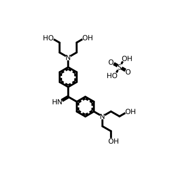 N=C(c1ccc(N(CCO)CCO)cc1)c1ccc(N(CCO)CCO)cc1.O=S(=O)(O)O